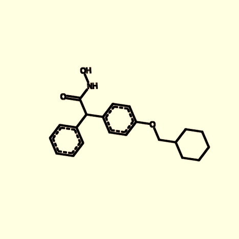 O=C(NO)C(c1ccccc1)c1ccc(OCC2CCCCC2)cc1